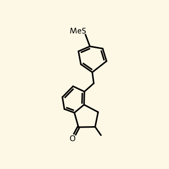 CSc1ccc(Cc2cccc3c2CC(C)C3=O)cc1